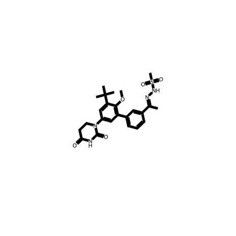 COc1c(-c2cccc(C(C)=NNS(C)(=O)=O)c2)cc(N2CCC(=O)NC2=O)cc1C(C)(C)C